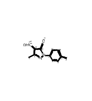 CC1=NN(c2ccc(C)cc2)C(=O)C1C=O